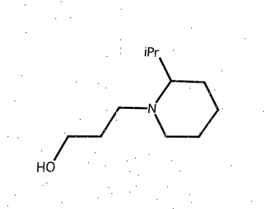 CC(C)C1CCCCN1CCCO